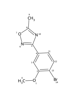 COc1cc(-c2noc(C)n2)ccc1Br